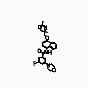 CC1=NC(C)(COc2ccc(NC(=O)c3cc(F)cc(N4CCOCC4)c3)c3ccccc23)CO1